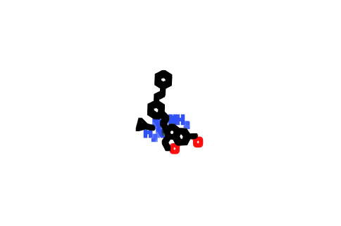 NC1c2cc(C=O)cc3c2C(CCO3)[C@]1(N)c1cc2cc(C=Cc3ccccc3)ccc2n1CC1CC1